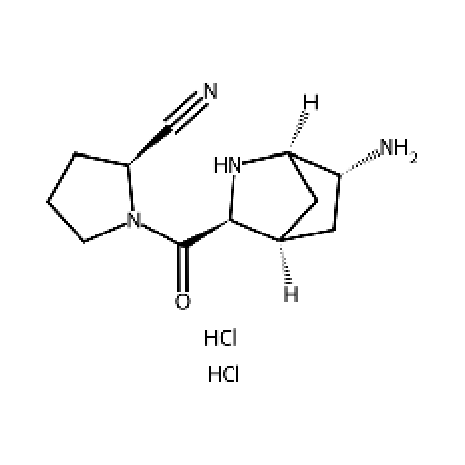 Cl.Cl.N#C[C@@H]1CCCN1C(=O)[C@H]1N[C@@H]2C[C@H]1C[C@H]2N